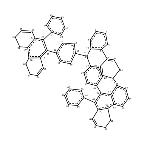 CC1C=CC(c2ccccc2N(c2ccc(-c3c4c(c5c(c3-c3ccccc3)C=CCC5)CCC=C4)cc2)c2ccc(-c3c(-c4ccccc4)c4c(c5ccccc35)CCC=C4)cc2)=CC1